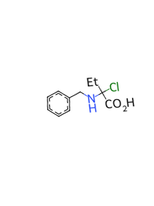 CCC(Cl)(NCc1ccccc1)C(=O)O